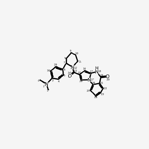 CN(C)c1ccc(C2CCCCN2C(=O)c2cc3[nH]c(=O)c4ccccc4n3c2)cc1